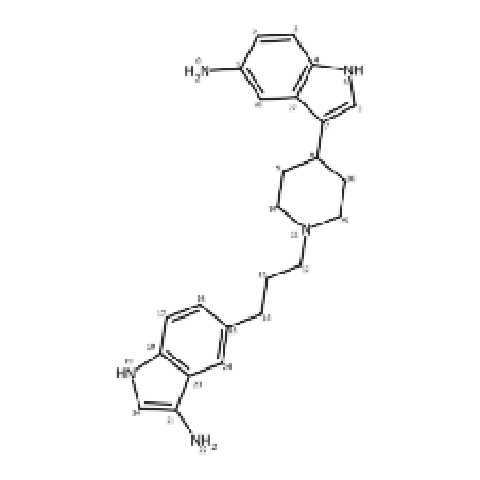 Nc1ccc2[nH]cc(C3CCN(CCCc4ccc5[nH]cc(N)c5c4)CC3)c2c1